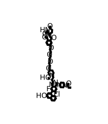 C=CC(=O)N1CCN(c2nc([C@H](CO)CN3CCC(OCCOCCOCCOc4ccc5c(c4)C(=O)N(C4CCC(=O)NC4=O)C5=O)CC3)nc3c(F)c(-c4cc(O)cc5ccccc45)c(Cl)cc23)CC1